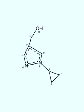 OCc1cnn(C2CC2)c1